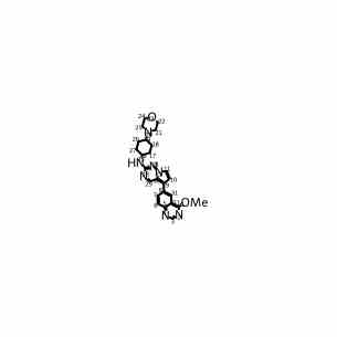 COc1ncnc2ccc(-c3ccn4nc(N[C@H]5CC[C@H](N6CCOCC6)CC5)ncc34)cc12